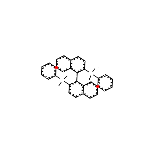 CC(C)(C)[PH](c1ccccc1)(c1ccc2ccccc2c1-c1c([PH](c2ccccc2)(C(C)(C)C)C(C)(C)C)ccc2ccccc12)C(C)(C)C